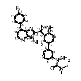 CN(C)C(=O)N(N)c1cncc(-c2cnc3[nH]nc(-c4nc5c(-c6ccc(F)cc6)ccnc5n4N)c3c2)c1